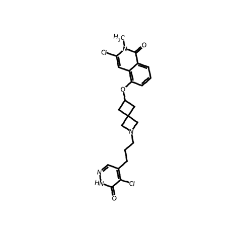 Cn1c(Cl)cc2c(OC3CC4(C3)CN(CCCc3cn[nH]c(=O)c3Cl)C4)cccc2c1=O